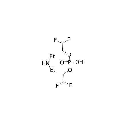 CCNCC.O=P(O)(OCC(F)F)OCC(F)F